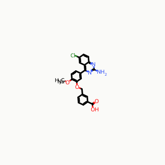 COc1ccc(-c2nc(N)nc3ccc(Cl)cc23)cc1OCc1cccc(C(=O)O)c1.[Na]